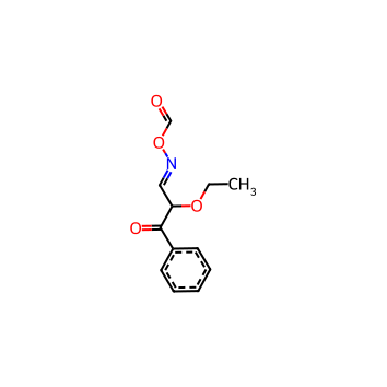 CCOC(C=NOC=O)C(=O)c1ccccc1